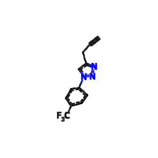 C#CCc1cn(-c2ccc(C(F)(F)F)cc2)nn1